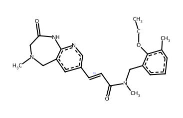 CCOc1c(C)cccc1CN(C)C(=O)/C=C/c1cnc2c(c1)CN(C)CC(=O)N2